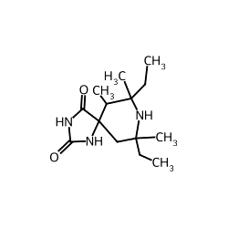 CCC1(C)CC2(NC(=O)NC2=O)C(C)C(C)(CC)N1